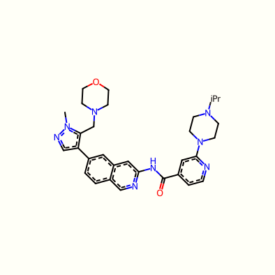 CC(C)N1CCN(c2cc(C(=O)Nc3cc4cc(-c5cnn(C)c5CN5CCOCC5)ccc4cn3)ccn2)CC1